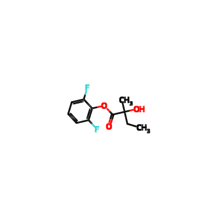 CCC(C)(O)C(=O)Oc1c(F)cccc1F